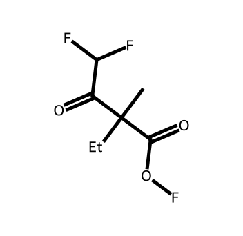 CCC(C)(C(=O)OF)C(=O)C(F)F